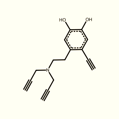 C#CCN(CC#C)CCc1cc(O)c(O)cc1C#C